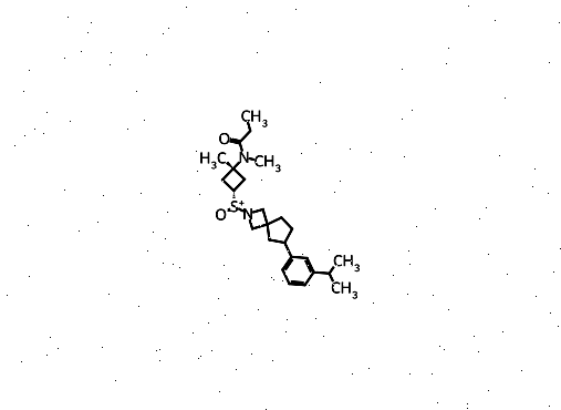 CCC(=O)N(C)[C@]1(C)C[C@H]([S+]([O-])N2CC3(CCC(c4cccc(C(C)C)c4)C3)C2)C1